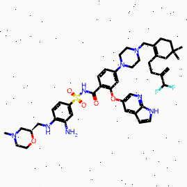 C=C(CCC1=C(CN2CCN(c3ccc(C(=O)NS(=O)(=O)c4ccc(NC[C@@H]5CN(C)CCO5)c(N)c4)c(Oc4cnc5[nH]ccc5c4)c3)CC2)CCC(C)(C)C1)C(F)F